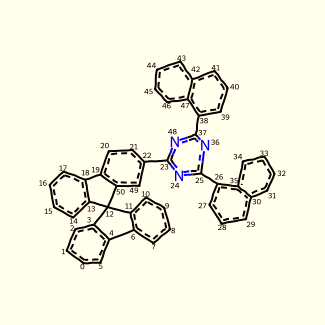 c1ccc2c(c1)-c1ccccc1C21c2ccccc2-c2ccc(-c3nc(-c4cccc5ccccc45)nc(-c4cccc5ccccc45)n3)cc21